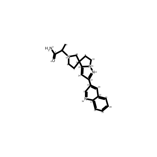 CC(C(N)=O)N1CCC2(CCn3nc(-c4cnc5ccccc5c4)cc32)C1